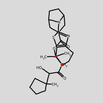 CC(C)(C)OC(=O)N1CC2CCC(C1)N2c1nc2c(s1)CN(C(=O)C(O)C1(C)CCCC1)CC2